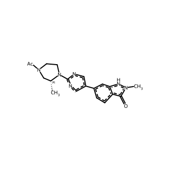 CC(=O)N1CCN(c2ncc(-c3ccc4c(=O)n(C)[nH]c4c3)cn2)[C@H](C)C1